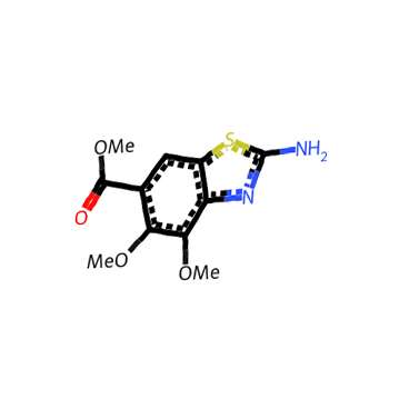 COC(=O)c1cc2sc(N)nc2c(OC)c1OC